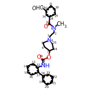 CN(CCN1CCC(OC(=O)Nc2ccccc2-c2ccccc2)CC1)C(=O)c1cccc(C=O)c1